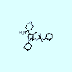 Cc1c(C2(N)CCOCC2)nn(-c2ccccc2)c1NC(=O)Oc1ccccc1